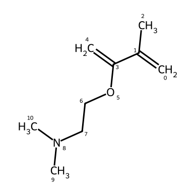 C=C(C)C(=C)OCCN(C)C